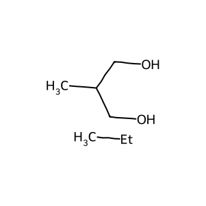 CC(CO)CO.CCC